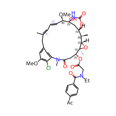 CCN(CC(=O)O[C@H]1CC(=O)N(C)c2cc(cc(OC)c2Cl)C/C(C)=C/C=C/[C@@H](OC)[C@@]2(O)C[C@H](OC(=O)N2)[C@@H](C)[C@@H]2O[C@@]12C)C(=O)c1ccc(C(C)=O)cc1